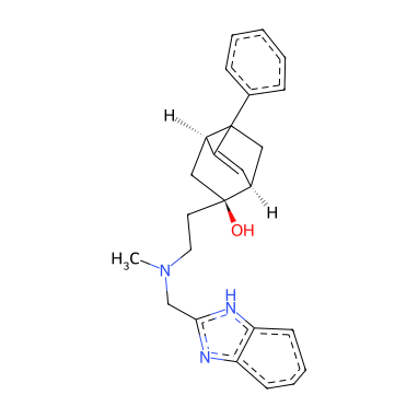 CN(CC[C@]1(O)C[C@H]2CC[C@@H]1C=C2c1ccccc1)Cc1nc2ccccc2[nH]1